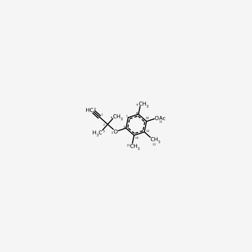 C#CC(C)(C)Oc1cc(C)c(OC(C)=O)c(C)c1C